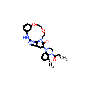 C=CC(=O)N1CCN(c2cc3cnc4nc3n(c2=O)CCOCCOc2cccc(c2)N4)c2cccc(C)c21